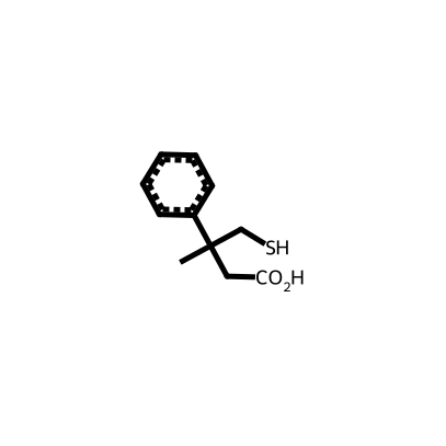 CC(CS)(CC(=O)O)c1ccccc1